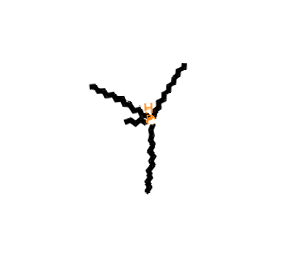 CCCCCCCCCCCCCC[PH](CCCCC)(CCCCCCCCCCCCCC)CCCCCCCCCCCCCC